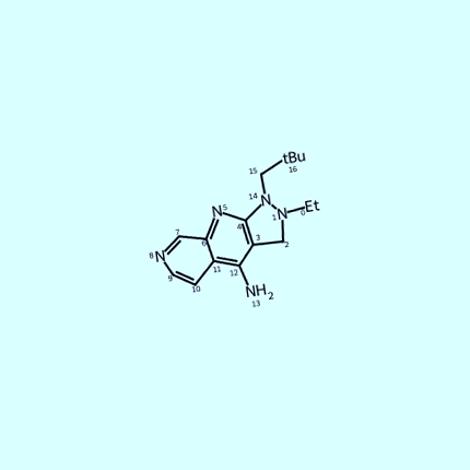 CCN1Cc2c(nc3cnccc3c2N)N1CC(C)(C)C